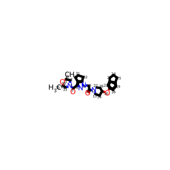 C[C@@H]1CN(C(=O)c2nn(CC(=O)N3CCC(Oc4ccc5c(c4)CCC5)CC3)c3c2CCC3)C[C@H](C)O1